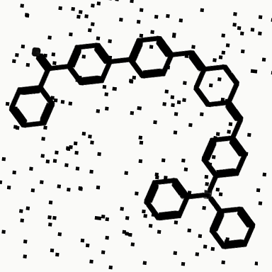 O=C(c1ccccc1)c1ccc(-c2ccc(C=C3CCC(=Cc4ccc(N(c5ccccc5)c5ccccc5)cc4)CC3)cc2)cc1